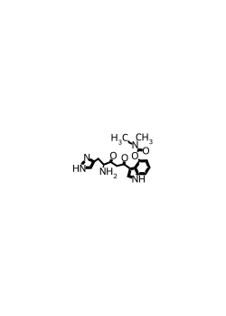 CCN(C)C(=O)Oc1cccc2[nH]cc(C(=O)CC(=O)[C@@H](N)Cc3c[nH]cn3)c12